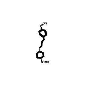 CCCCC[C@H]1CC[C@H](CCCCc2ccc(OCCC)cc2)CC1